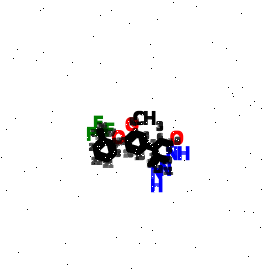 COc1cc(C2CC(=O)Nc3n[nH]cc32)ccc1Oc1ccccc1C(F)(F)F